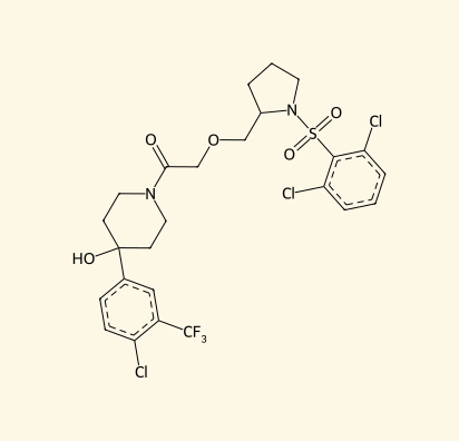 O=C(COCC1CCCN1S(=O)(=O)c1c(Cl)cccc1Cl)N1CCC(O)(c2ccc(Cl)c(C(F)(F)F)c2)CC1